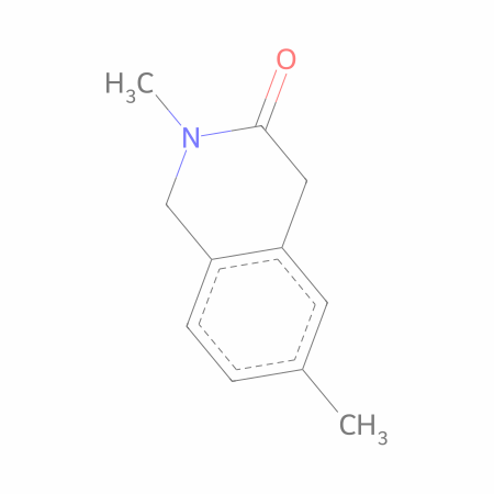 Cc1ccc2c(c1)CC(=O)N(C)C2